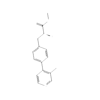 COC(=O)[C@@H](N)Cc1ccc(-c2ccncc2C)cc1.Cl.Cl